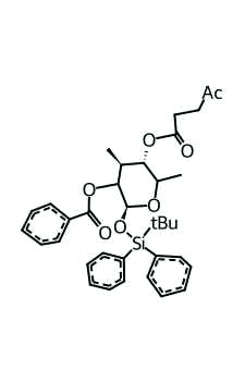 CC(=O)CCC(=O)O[C@@H]1C(C)O[C@@H](O[Si](c2ccccc2)(c2ccccc2)C(C)(C)C)C(OC(=O)c2ccccc2)[C@H]1C